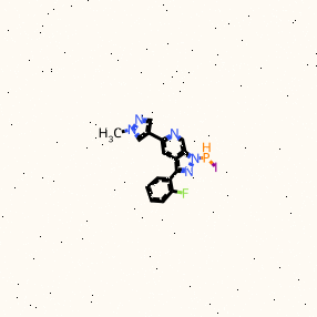 Cn1cc(-c2cc3c(-c4ccccc4F)nn(PI)c3cn2)cn1